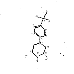 C[C@@H]1CN(c2ccc(C(C)(C)C)nc2)C[C@H](C)N1